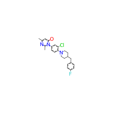 Cc1cc(=O)n(-c2ccc(N3CCC(Cc4ccc(F)cc4)CC3)c(Cl)c2)c(C)n1